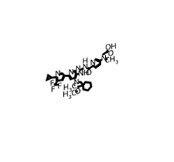 COCC1(CN(C)c2cc(-c3cnc(C4CC4)c(C(F)(F)F)c3)nc3nc(NC(=O)c4ccc(N(C)CC(=O)O)cn4)[nH]c23)CCCCC1